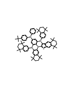 CC(C)(C)c1ccc(N(c2ccccc2)c2cc3c4c(c2)N(c2ccc5c(c2)C(C)(C)CCC5(C)C)c2c(sc5cc6c(cc25)C(C)(C)CCC6(C)C)B4c2cc4c(cc2N3c2ccc3c(c2)C(C)(C)CCC3(C)C)C(C)(C)CCC4(C)C)cc1